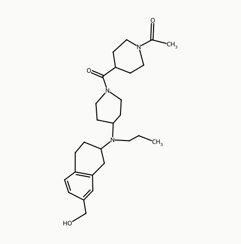 CCCN(C1CCN(C(=O)C2CCN(C(C)=O)CC2)CC1)C1CCc2ccc(CO)cc2C1